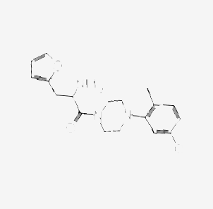 Cc1ccc(Cl)cc1N1CCN(C(=O)C(N)Cc2ccco2)CC1